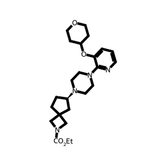 CCOC(=O)N1CC2(CC[C@@H](N3CCN(c4ncccc4OC4CCOCC4)CC3)C2)C1